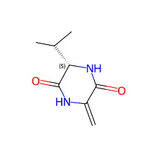 C=C1NC(=O)[C@H](C(C)C)NC1=O